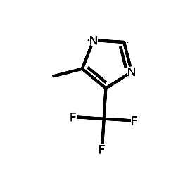 CC1=C(C(F)(F)F)N=[C][N]1